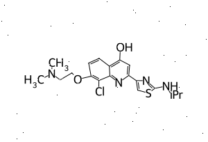 CC(C)Nc1nc(-c2cc(O)c3ccc(OCCN(C)C)c(Cl)c3n2)cs1